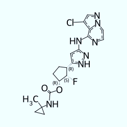 CC1(NC(=O)O[C@@H]2CC[C@H](c3cc(Nc4nccn5ncc(Cl)c45)n[nH]3)[C@@H]2F)CC1